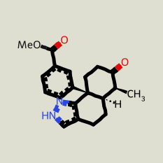 COC(=O)c1cccc([C@@]23CCC(=O)[C@@H](C)[C@H]2CCc2c[nH]nc23)c1